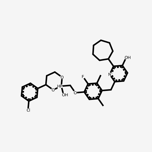 Cc1cc(OC[PH]2(O)OCCC(c3cccc(Cl)c3)O2)c(F)c(C)c1Cc1ccc(O)c(C2CCCCCC2)n1